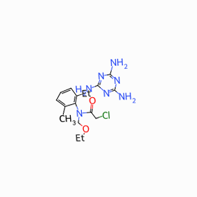 CCOCN(C(=O)CCl)c1c(C)cccc1CC.Nc1nc(N)nc(N)n1